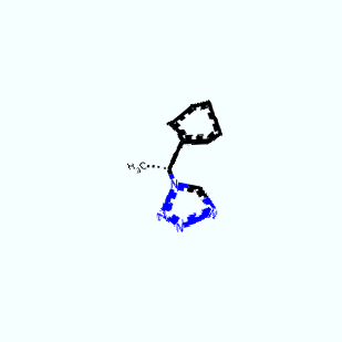 C[C@H](c1ccccc1)n1cnnn1